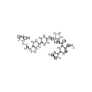 CN(CCC(O)CO)C1CCc2cc(-c3ccc(CO[C@H]4CCC[C@@H]4NC(=O)c4cc(-c5cnn(C)c5)cnc4N)cc3)ccc21